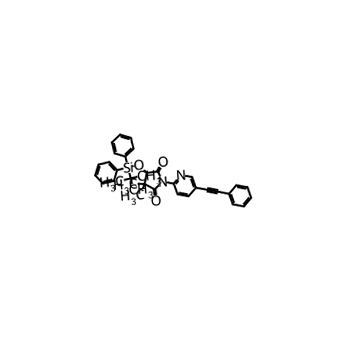 CC1(C)C(=O)N(c2ccc(C#Cc3ccccc3)cn2)C(=O)C1O[Si](c1ccccc1)(c1ccccc1)C(C)(C)C